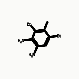 CCc1cc(N)c(N)c(CC)c1C